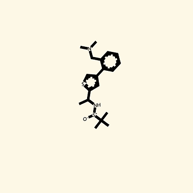 CC(N[S+]([O-])C(C)(C)C)c1cc(-c2ccccc2CN(C)C)cs1